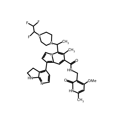 COc1cc(C)[nH]c(=O)c1CNC(=O)c1cc2c(-c3ccnc4c3CCN4)ccn2c(C(C)N2CCN(C(F)C(F)F)CC2)c1C